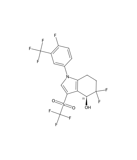 O=S(=O)(c1cn(-c2ccc(F)c(C(F)(F)F)c2)c2c1[C@H](O)C(F)(F)CC2)C(F)(F)F